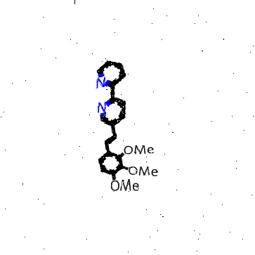 COc1ccc(C=Cc2ccc(-c3ccccn3)nc2)c(OC)c1OC